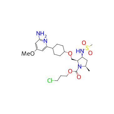 COc1cc(N)nc(C2CCC(OC[C@H]3[C@@H](NS(C)(=O)=O)C[C@@H](C)N3C(=O)OCCCCl)CC2)c1